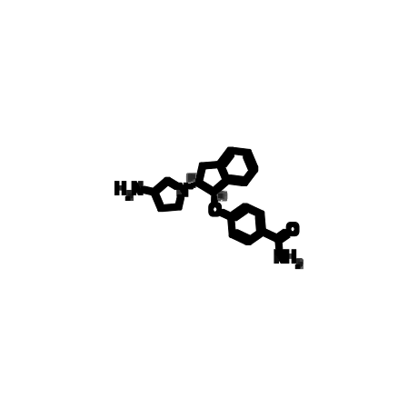 NC(=O)c1ccc(O[C@@H]2c3ccccc3C[C@H]2N2CCC(N)C2)cc1